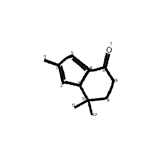 CC1=CC2C(=C1)C(=O)CCC2(C)C